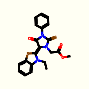 CCN1C(=C2C(=O)N(c3ccccc3)C(=S)N2CC(=O)OC)Sc2ccccc21